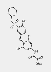 COC(=O)C(=O)Nc1cc(Cl)c(Oc2ccc(O)c(S(=O)(=O)CC3CCCCC3)c2)c(Cl)c1